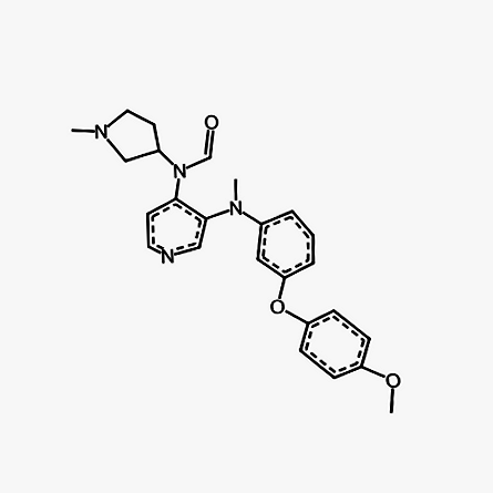 COc1ccc(Oc2cccc(N(C)c3cnccc3N(C=O)C3CCN(C)C3)c2)cc1